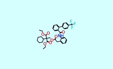 CCOC(=O)C(COC(=O)Cc1ccccc1NC(=O)c1ccccc1-c1ccc(C(F)(F)F)cc1)(C(=O)OCC)C1CCCCC1